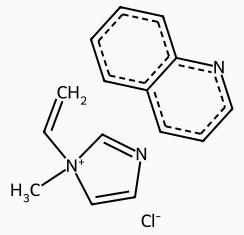 C=C[N+]1(C)C=CN=C1.[Cl-].c1ccc2ncccc2c1